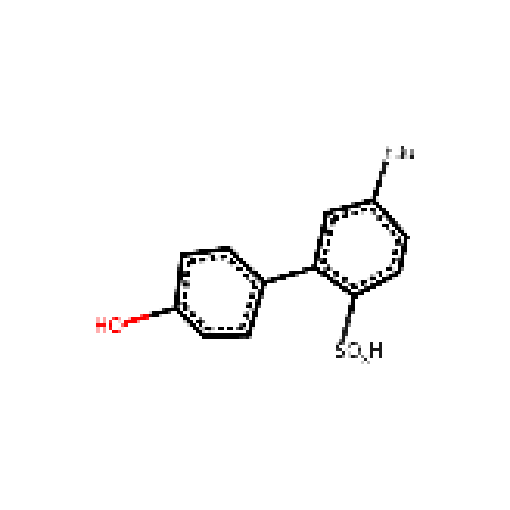 CC(C)(C)c1ccc(S(=O)(=O)O)c(-c2ccc(O)cc2)c1